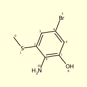 CSc1cc(Br)cc(O)c1N